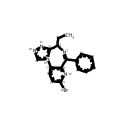 CCC1N=C(c2ccccc2)c2nc(Br)ccc2-n2cnnc21